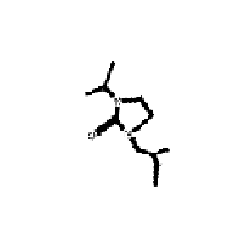 CC(C)CN1CCN(C(C)C)C1=O